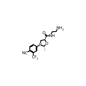 C[C@H]1O[C@H](C(=O)NCCN)CN1c1ccc(C#N)c(C(F)(F)F)c1